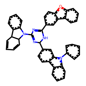 C1=CC2c3ccccc3N(C3=NC(c4ccc5c6ccccc6n(-c6ccccc6)c5c4)NC(c4ccc5oc6ccccc6c5c4)=N3)C2C=C1